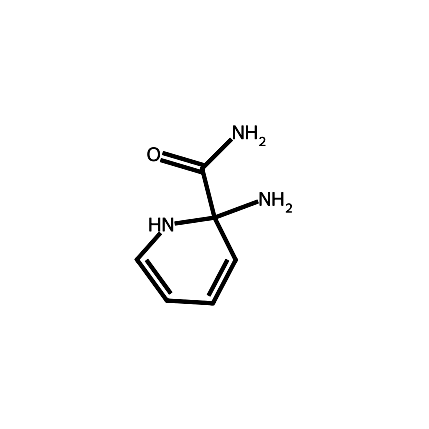 NC(=O)C1(N)C=CC=CN1